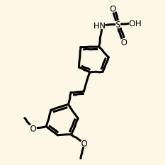 COc1cc(C=Cc2ccc(NS(=O)(=O)O)cc2)cc(OC)c1